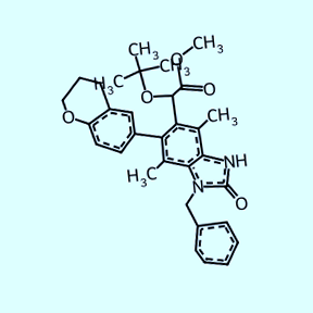 COC(=O)C(OC(C)(C)C)c1c(-c2ccc3c(c2)CCCO3)c(C)c2c([nH]c(=O)n2Cc2ccccc2)c1C